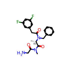 C[C@@H](C(=O)N(C)C(=O)CN)N(Cc1ccccc1)C(=O)Cc1cc(F)cc(F)c1